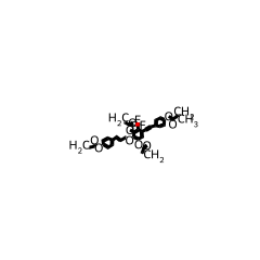 C=CC(=O)Oc1ccc(/C=C/COc2c(OC(=O)C=C)cc(C#Cc3ccc(OC(=O)C(=C)C)cc3)c(C(F)(F)F)c2OC(=O)C=C)cc1